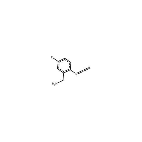 NCc1cc(F)ccc1N=C=S